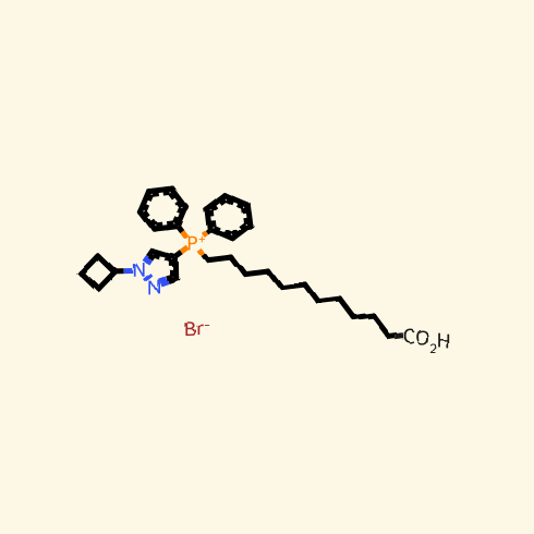 O=C(O)CCCCCCCCCCC[P+](c1ccccc1)(c1ccccc1)c1cnn(C2CCC2)c1.[Br-]